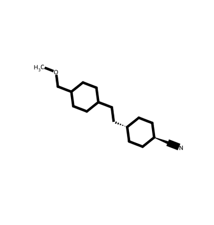 COCC1CCC(CC[C@H]2CC[C@H](C#N)CC2)CC1